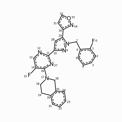 Fc1ccccc1Cn1nc(-c2ncc(F)c(N3CCc4ccccc4C3)n2)cc1-c1ccon1